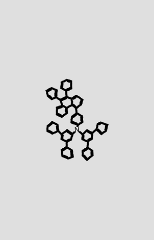 c1ccc(-c2cc(-c3ccccc3)cc(N(c3ccc(-c4cccc5c(-c6ccccc6)c(-c6ccccc6)c6ccccc6c45)cc3)c3cc(-c4ccccc4)cc(-c4ccccc4)c3)c2)cc1